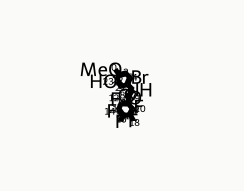 COc1cc(Br)c(NS(=O)(=O)c2c(F)c(F)c(F)c(F)c2F)cc1O